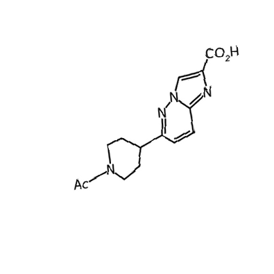 CC(=O)N1CCC(c2ccc3nc(C(=O)O)cn3n2)CC1